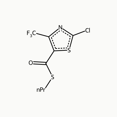 CCCSC(=O)c1sc(Cl)nc1C(F)(F)F